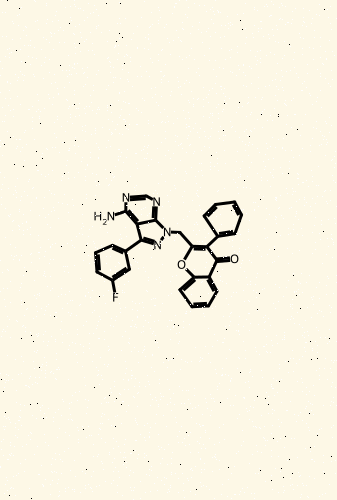 Nc1ncnc2c1c(-c1cccc(F)c1)nn2Cc1oc2ccccc2c(=O)c1-c1ccccc1